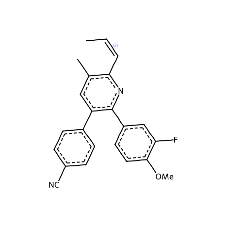 C/C=C\c1nc(-c2ccc(OC)c(F)c2)c(-c2ccc(C#N)cc2)cc1C